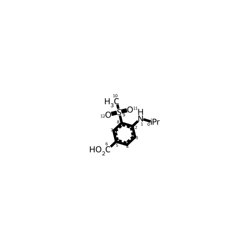 CC(C)Nc1ccc(C(=O)O)cc1S(C)(=O)=O